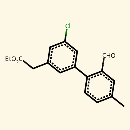 CCOC(=O)Cc1cc(Cl)cc(-c2ccc(C)cc2C=O)c1